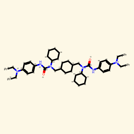 CC(C)CN(CC(C)C)c1ccc(NC(=O)N(CC2CCC(CN(C(=O)Nc3ccc(N(CC(C)C)CC(C)C)cc3)C3CCCCC3)CC2)C2CCCCC2)cc1